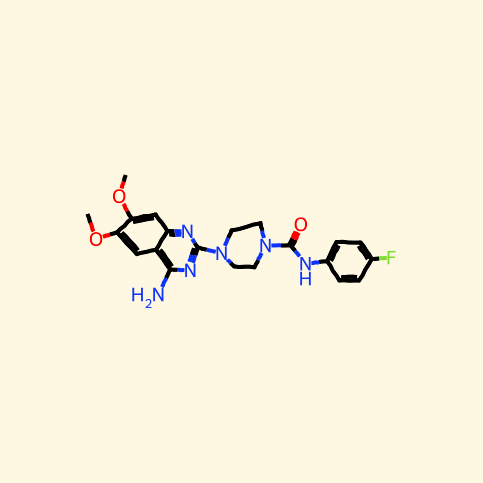 COc1cc2nc(N3CCN(C(=O)Nc4ccc(F)cc4)CC3)nc(N)c2cc1OC